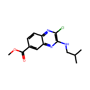 COC(=O)c1ccc2nc(Cl)c(NCC(C)C)nc2c1